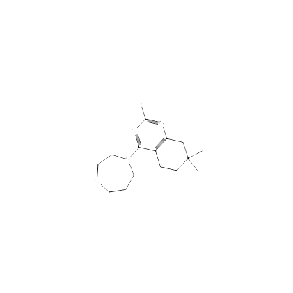 CC1(C)CCc2c(nc(N)nc2N2CCCNCC2)C1